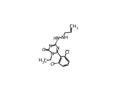 C=CCNNc1nc(-c2c(Cl)cccc2Cl)n(CC)c(=O)n1